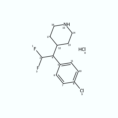 Cl.FC(F)C(c1ccc(Cl)cc1)C1CCNCC1